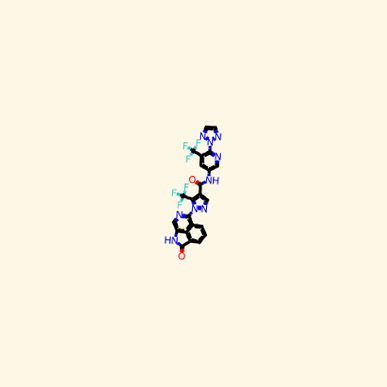 O=C(Nc1cnc(-n2nccn2)c(C(F)(F)F)c1)c1cnn(-c2ncc3c4c(cccc24)C(=O)N3)c1C(F)(F)F